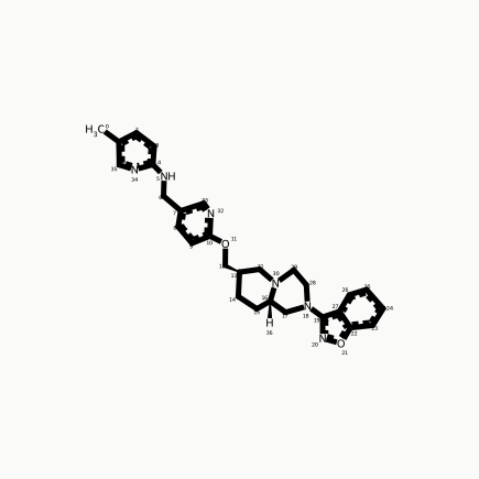 Cc1ccc(NCc2ccc(OC[C@@H]3CC[C@H]4CN(c5noc6ccccc56)CCN4C3)nc2)nc1